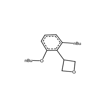 CCCCOc1cccc(CCCC)c1C1COC1